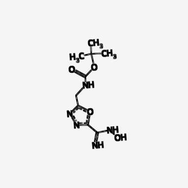 CC(C)(C)OC(=O)NCc1nnc(C(=N)NO)o1